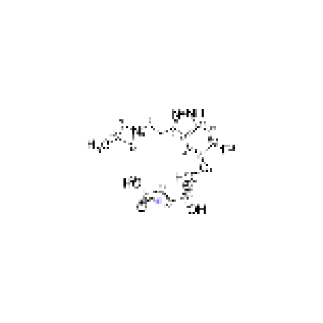 COc1cc2c(CCN3CC(C)C3)n[nH]c2cc1F.O=C(O)/C=C/C(=O)O